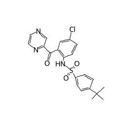 CC(C)(C)c1ccc(S(=O)(=O)Nc2ccc(Cl)cc2C(=O)c2cnccn2)cc1